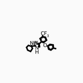 Cc1ccc(Oc2ccc(C(F)(F)F)cc2-c2c[nH]c(C3(N)CCCCC3)n2)cc1